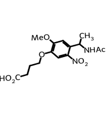 COc1cc(C(C)NC(C)=O)c([N+](=O)[O-])cc1OCCCC(=O)O